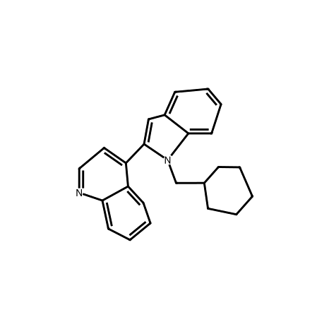 c1ccc2c(c1)cc(-c1ccnc3ccccc13)n2CC1CCCCC1